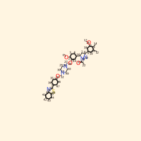 COc1ccc(C2CC(c3cc(C)c(C)c(OC)c3)=NN2C(C)=O)cc1OCN1CCN(COc2ccc(-c3nc4ccccc4s3)cc2)CC1